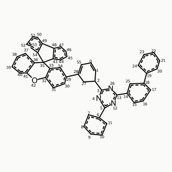 C1=CC(c2nc(-c3ccccc3)nc(-c3cccc(-c4ccccc4)c3)n2)CC(c2ccc3c(c2)C2(c4ccccc4O3)c3ccccc3-c3ccccc32)=C1